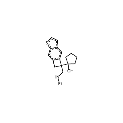 CCNCC1(C2(O)CCCC2)Cc2cc3sccc3cc21